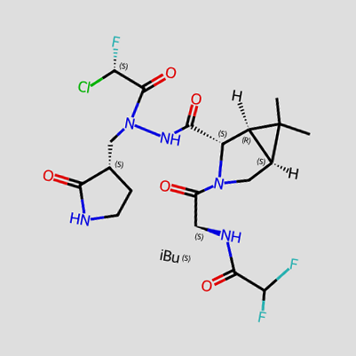 CC[C@H](C)[C@H](NC(=O)C(F)F)C(=O)N1C[C@H]2[C@@H]([C@H]1C(=O)NN(C[C@@H]1CCNC1=O)C(=O)[C@@H](F)Cl)C2(C)C